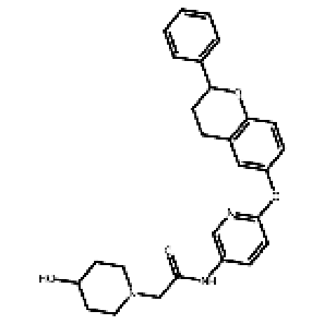 O=C(CN1CCC(O)CC1)Nc1ccc(Oc2ccc3c(c2)CCC(c2ccccc2)O3)nc1